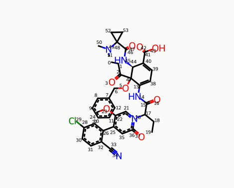 CCC(=O)C1(OCc2ccccc2)C(NC(=O)C(CC)n2cc(OC)c(-c3cc(Cl)ccc3C#N)cc2=O)=CC=C(C(=O)O)[C@@H]1NC(=O)C1(N(C)C)CC1